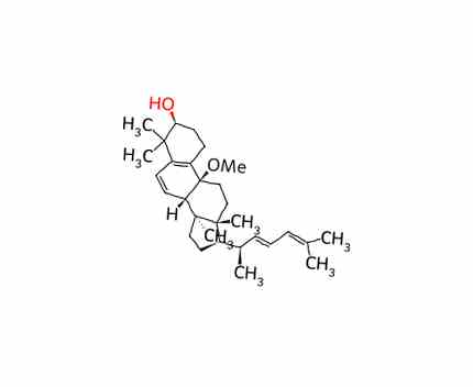 CO[C@@]12CC[C@]3(C)[C@@H]([C@H](C)/C=C/C=C(C)C)CC[C@@]3(C)[C@@H]1C=CC1=C2CC[C@H](O)C1(C)C